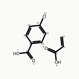 C=CC(=O)O.O=C(O)c1ccc(Cl)cc1